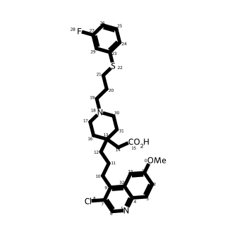 COc1ccc2ncc(Cl)c(CCCC3(CC(=O)O)CCN(CCCSc4cccc(F)c4)CC3)c2c1